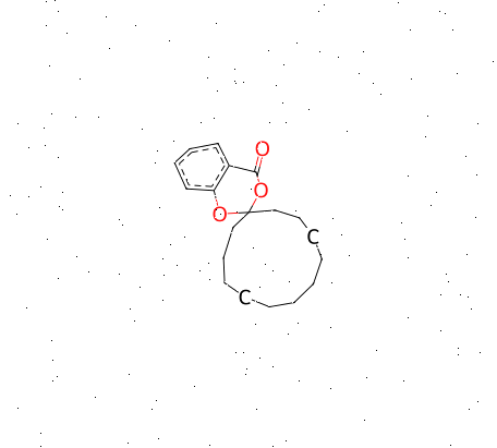 O=C1OC2(CCCCCCCCCCC2)Oc2ccccc21